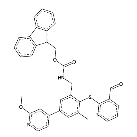 COc1cc(-c2cc(C)c(Sc3ncccc3C=O)c(CNC(=O)OCC3c4ccccc4-c4ccccc43)c2)ccn1